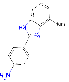 Nc1ccc(-c2nc3c([N+](=O)[O-])cccc3[nH]2)cc1